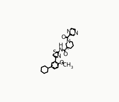 COc1ccc(C2CCCCC2)cc1-c1csc(NC(=O)[C@@H]2CCCN(C(=O)c3cnccn3)C2)n1